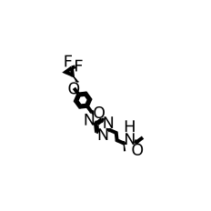 CC(=O)N[C@@H](C)CCc1ncc2nc(-c3ccc(OC[C@H]4CC4(F)F)cc3)oc2n1